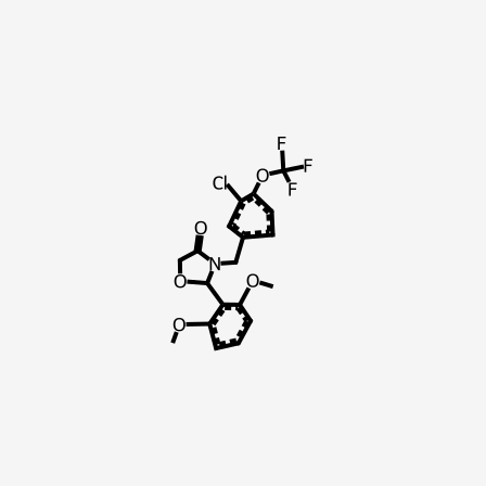 COc1cccc(OC)c1C1OCC(=O)N1Cc1ccc(OC(F)(F)F)c(Cl)c1